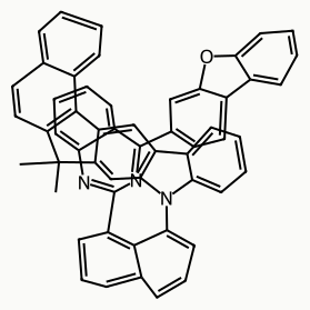 CC1(C)c2cc3c(cc2-c2c1ccc1ccccc21)c1ccccc1n3-c1cccc2cccc(-c3nc(-c4ccc5c(c4)oc4ccccc45)c4ccccc4n3)c12